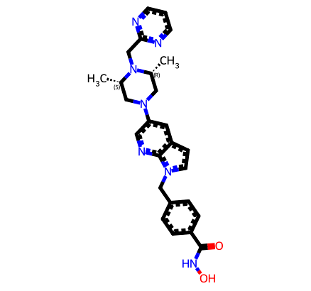 C[C@@H]1CN(c2cnc3c(ccn3Cc3ccc(C(=O)NO)cc3)c2)C[C@H](C)N1Cc1ncccn1